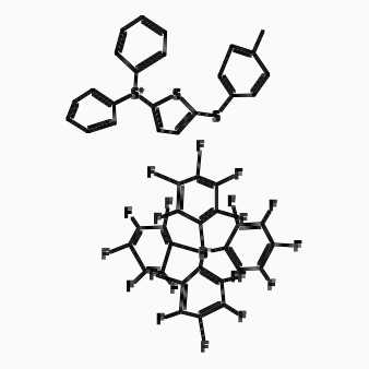 Cc1ccc(Sc2ccc([S+](c3ccccc3)c3ccccc3)s2)cc1.Fc1c(F)c(F)c([B-](c2c(F)c(F)c(F)c(F)c2F)(c2c(F)c(F)c(F)c(F)c2F)c2c(F)c(F)c(F)c(F)c2F)c(F)c1F